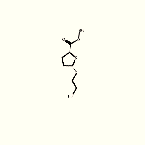 CC(C)(C)OC(=O)[C@@H]1CC[C@@H](CCCO)S1